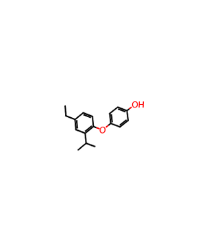 CCc1ccc(Oc2ccc(O)cc2)c(C(C)C)c1